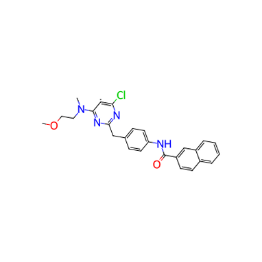 COCCN(C)c1[c]c(Cl)nc(Cc2ccc(NC(=O)c3ccc4ccccc4c3)cc2)n1